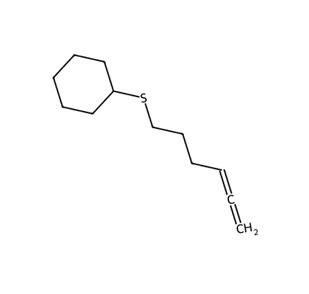 C=C=CCCCSC1CCCCC1